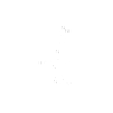 C/C=C(\N1CCc2ncc(C(F)(F)F)cc2C1)C1(CC2CC2)CCN(Cc2ccc3[nH]ncc3c2)C1